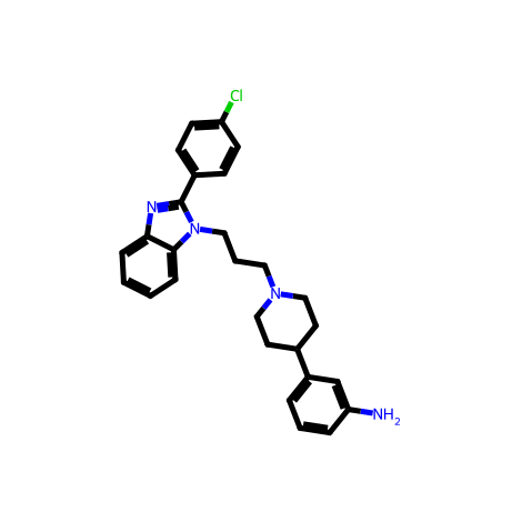 Nc1cccc(C2CCN(CCCn3c(-c4ccc(Cl)cc4)nc4ccccc43)CC2)c1